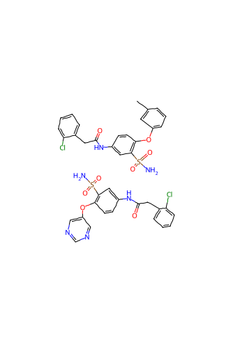 Cc1cccc(Oc2ccc(NC(=O)Cc3ccccc3Cl)cc2S(N)(=O)=O)c1.NS(=O)(=O)c1cc(NC(=O)Cc2ccccc2Cl)ccc1Oc1cncnc1